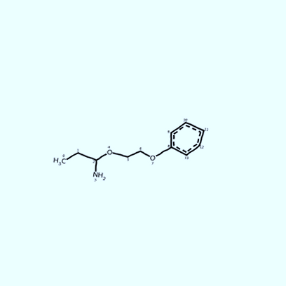 CCC(N)OCCOc1ccccc1